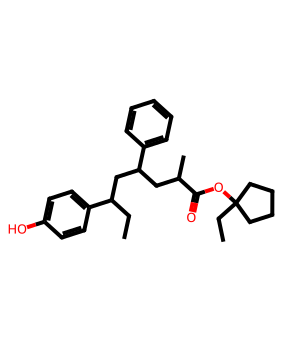 CCC(CC(CC(C)C(=O)OC1(CC)CCCC1)c1ccccc1)c1ccc(O)cc1